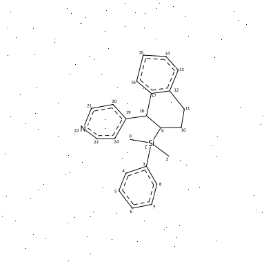 C[Si](C)(c1ccccc1)C1CCc2ccccc2C1c1ccncc1